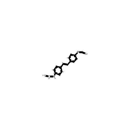 S=C=Nc1ccc(C=Cc2ccc(N=C=S)cc2)cc1